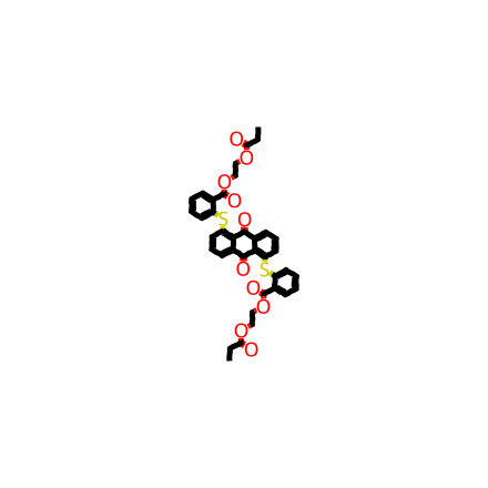 CCC(=O)OCCOC(=O)c1ccccc1Sc1cccc2c1C(=O)c1cccc(Sc3ccccc3C(=O)OCCOC(=O)CC)c1C2=O